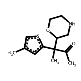 CC(=O)C(C)(c1cc(C)cs1)C1CNCCO1